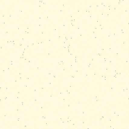 Cc1ccc(C(=O)NC2=C(C(=O)O)C(=C=O)CS2)cc1C